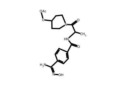 CC(=O)OOC1CCN(C(=O)C(C)NC(=O)c2ccc(/C(N)=N\O)cc2)CC1